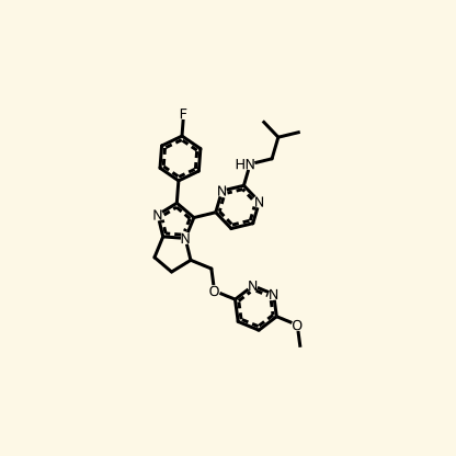 COc1ccc(OCC2CCc3nc(-c4ccc(F)cc4)c(-c4ccnc(NCC(C)C)n4)n32)nn1